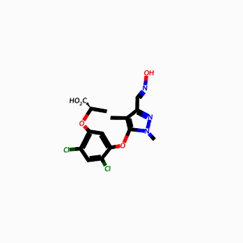 Cc1c(C=NO)nn(C)c1Oc1cc(O[C@@H](C)C(=O)O)c(Cl)cc1Cl